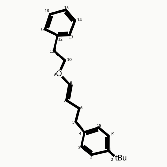 CC(C)(C)c1ccc(CCC=COCCc2ccccc2)cc1